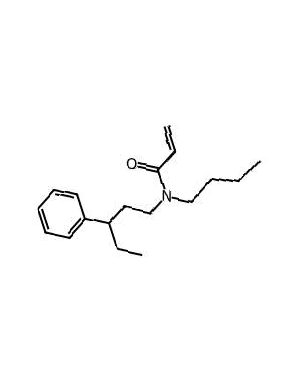 C=CC(=O)N(CCCC)CCC(CC)c1ccccc1